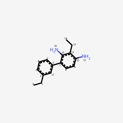 CCc1cccc(-c2ccc(N)c(CC)c2N)c1